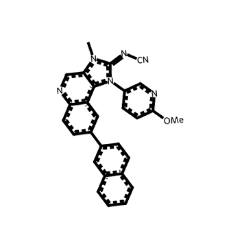 COc1ccc(-n2c(=NC#N)n(C)c3cnc4ccc(-c5ccc6ccccc6c5)cc4c32)cn1